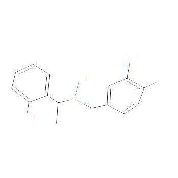 CC(c1ccccc1O)N(O)Cc1ccc(O)c(O)c1